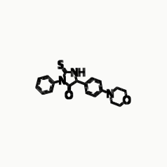 O=C1C(c2ccc(N3CCOCC3)cc2)NC(=S)N1c1ccccc1